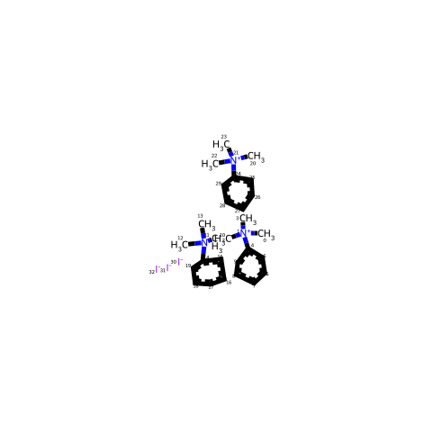 C[N+](C)(C)c1ccccc1.C[N+](C)(C)c1ccccc1.C[N+](C)(C)c1ccccc1.[I-].[I-].[I-]